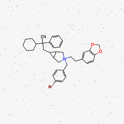 N#CC(CC1C2C[N+](CCc3ccc4c(c3)OCO4)(Cc3ccc(Br)cc3)CC12)(c1ccccc1)C1CCCCC1